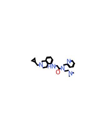 CN(C)CCN(Cc1ccccn1)C(=O)CNc1cccc2c1CCN(CC1CC1)C2